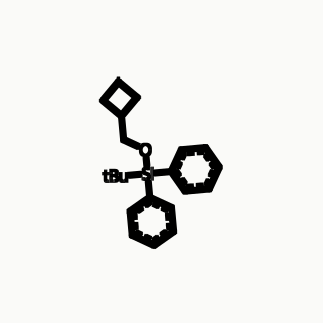 CC(C)(C)[Si](OCC1C[CH]C1)(c1ccccc1)c1ccccc1